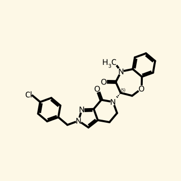 CN1C(=O)[C@@H](N2CCc3cn(Cc4ccc(Cl)cc4)nc3C2=O)COc2ccccc21